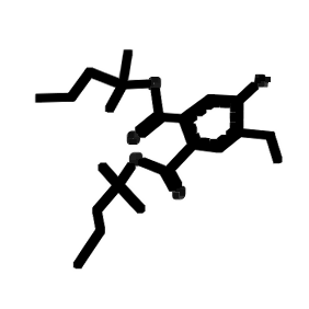 CCCC(C)(C)OC(=O)c1cc(Br)c(CC)cc1C(=O)OC(C)(C)CCC